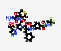 CC(C)(O)c1cnnn1[C@H]1C[C@@H](C(=O)NC2(C(=O)C(N)=O)CCSCC2)N(C(=O)C(CC2CCCCC2)NC(=O)c2ccc(S(=O)(=O)NCC(F)(F)F)cc2)C1